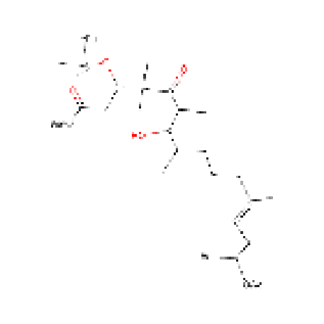 COC(=O)CC(O[Si](C)(C)C(C)(C)C)C(C)(C)C(=O)C(C)C(O)C(C)CCCC(C)=CCC(OC(C)=O)C(C)=O